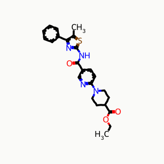 CCOC(=O)C1CCN(c2ccc(C(=O)Nc3nc(-c4ccccc4)c(C)s3)cn2)CC1